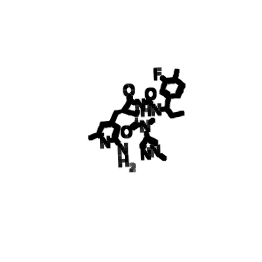 CCC(NC(=O)N1C(=O)[C@H](Cc2cc(C)nc(N)c2)[C@H]1C(=O)N(C)c1cnn(C)c1)c1ccc(C)c(F)c1